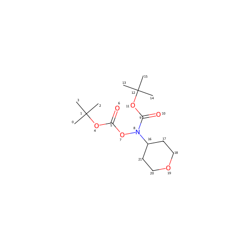 CC(C)(C)OC(=O)ON(C(=O)OC(C)(C)C)C1CCOCC1